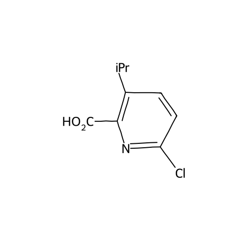 CC(C)c1ccc(Cl)nc1C(=O)O